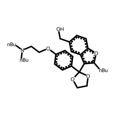 CCCCc1oc2ccc(CO)cc2c1C1(c2ccc(OCCN(CCCC)CCCC)cc2)OCCO1